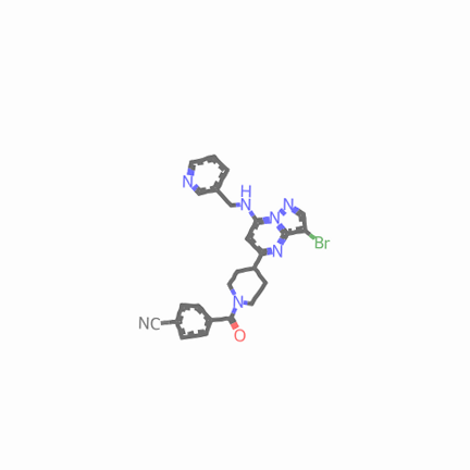 N#Cc1ccc(C(=O)N2CCC(c3cc(NCc4cccnc4)n4ncc(Br)c4n3)CC2)cc1